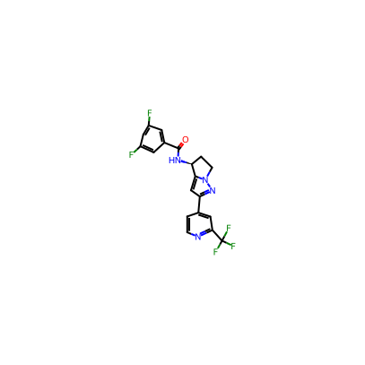 O=C(N[C@H]1CCn2nc(-c3ccnc(C(F)(F)F)c3)cc21)c1cc(F)cc(F)c1